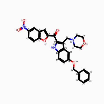 O=C(c1cc2cc([N+](=O)[O-])ccc2o1)c1[nH]c2ccc(OCc3ccccc3)cc2c1CN1CCOCC1